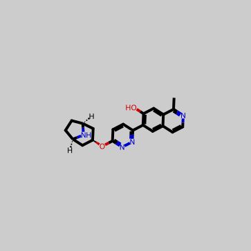 Cc1nccc2cc(-c3ccc(O[C@H]4C[C@H]5CC[C@@H](C4)N5)nn3)c(O)cc12